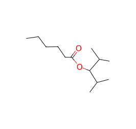 CCCCCC(=O)OC(C(C)C)C(C)C